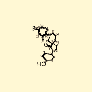 O=C1N([C@H]2CC[C@@H](O)CC2)CC[C@@]12CCCN(c1ncc(F)cc1F)C2